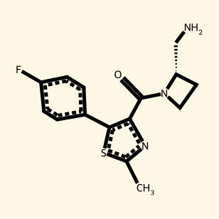 Cc1nc(C(=O)N2CC[C@H]2CN)c(-c2ccc(F)cc2)s1